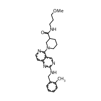 COCCCNC(=O)C1CCCN(c2nccc3nc(NCc4ccccc4C)ncc23)C1